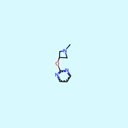 CN1CC(Oc2ncccn2)C1